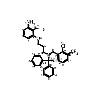 Cc1c(N)cccc1OCCCN(Cc1cccc(C(F)(F)F)c1Cl)C(C)(c1ccccc1)c1ccccc1